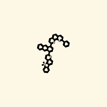 C[Si]1(C)c2ccccc2-c2ccc3nc(-c4ccc(-c5ccc6ccc7ccc(-c8ccccc8)nc7c6n5)c5cc6ccccc6cc45)ccc3c21